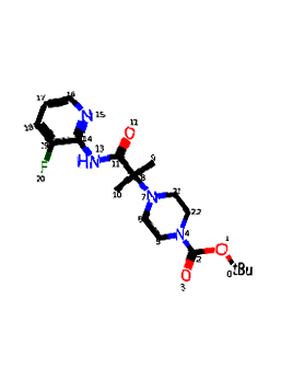 CC(C)(C)OC(=O)N1CCN(C(C)(C)C(=O)Nc2ncccc2F)CC1